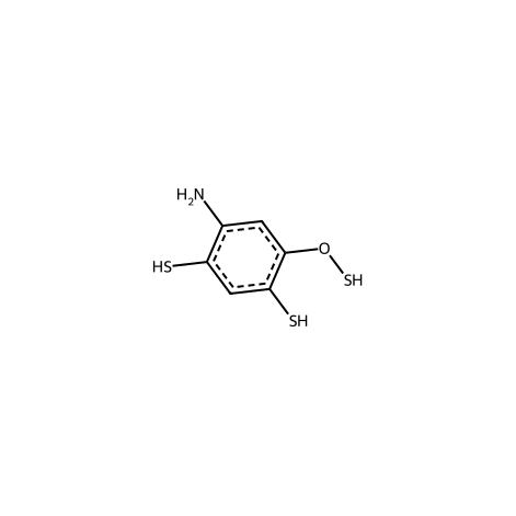 Nc1cc(OS)c(S)cc1S